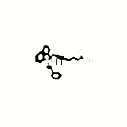 O=C(O)CCCC#CCC1(c2ccccc2)NC(c2ccccc2)=CN1c1ccccc1